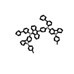 Cc1ccc(-n2c3ccccc3c3cc(N(c4ccc(-c5c6ccccc6c(N(c6cccc(-c7ccccc7)c6)c6ccc7c(c6)c6ccccc6n7-c6ccc(C)cc6)c6ccccc56)cc4)c4cccc(-c5ccccc5)c4)ccc32)cc1